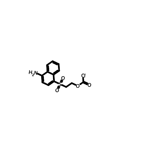 Nc1ccc(S(=O)(=O)CCOC(=O)Cl)c2ccccc12